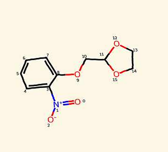 O=[N+]([O-])c1ccccc1OCC1OCCO1